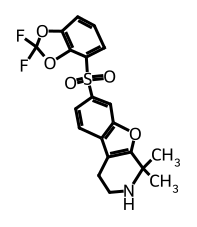 CC1(C)NCCc2c1oc1cc(S(=O)(=O)c3cccc4c3OC(F)(F)O4)ccc21